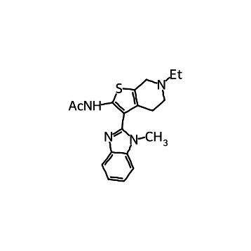 CCN1CCc2c(sc(NC(C)=O)c2-c2nc3ccccc3n2C)C1